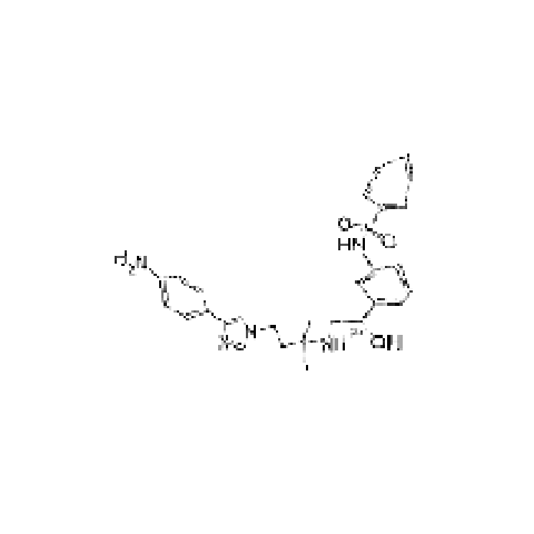 CC(C)(CCn1cnc(-c2ccc(N)cc2)c1)NC[C@@H](O)c1cccc(NS(=O)(=O)c2ccccc2)c1